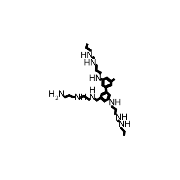 CCCNCNCCCNc1cc(C)cc(-c2cc(CNCCCNCCCN)cc(NCCCNCNCCC)c2)c1